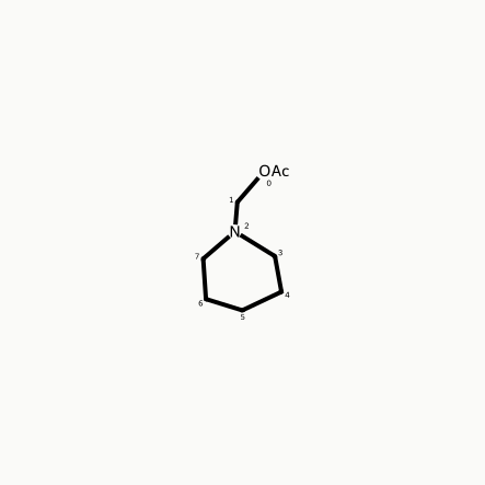 CC(=O)OCN1CCCCC1